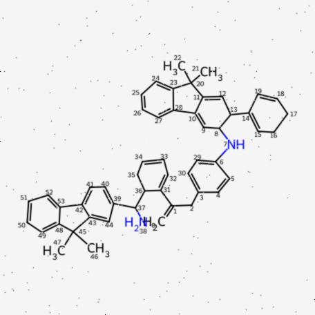 C=C(Cc1ccc(NC2C=C3C(=CC2C2=CCCC=C2)C(C)(C)c2ccccc23)cc1)C1=CC=CCC1C(N)c1ccc2c(c1)C(C)(C)c1ccccc1-2